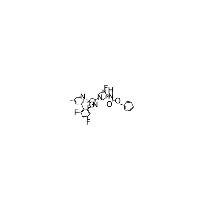 Cc1cnc([C@@H]2CC(N3C[C@H](F)[C@H](NC(=O)OCc4ccccc4)C3)=NO2)c(-c2c(F)cc(F)cc2F)c1